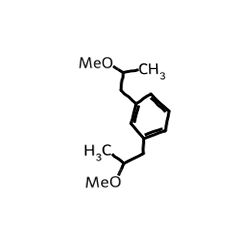 COC(C)Cc1cccc(CC(C)OC)c1